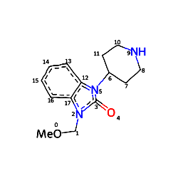 COCn1c(=O)n(C2CCNCC2)c2ccccc21